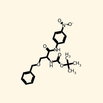 CC(C)(C)OC(=O)NC(COCc1ccccc1)C(=O)Nc1ccc([N+](=O)[O-])cc1